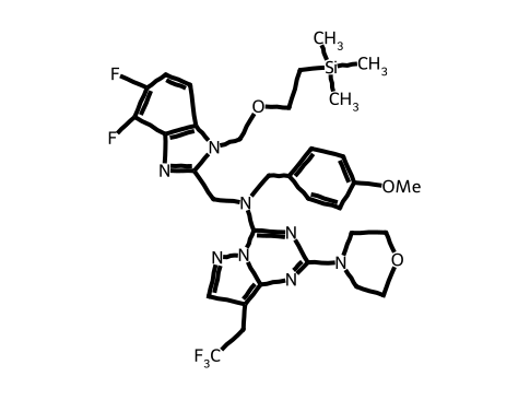 COc1ccc(CN(Cc2nc3c(F)c(F)ccc3n2COCC[Si](C)(C)C)c2nc(N3CCOCC3)nc3c(CC(F)(F)F)cnn23)cc1